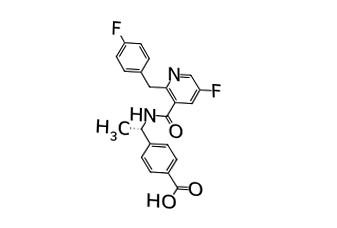 C[C@H](NC(=O)c1cc(F)cnc1Cc1ccc(F)cc1)c1ccc(C(=O)O)cc1